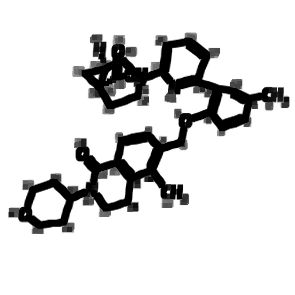 Cc1ccc(OCc2ccc3c(c2C)CCN(C2CCOCC2)C3=O)c(-c2cccc(N3CC[C@@]4(C(=O)O)C[C@H]4C3)n2)c1